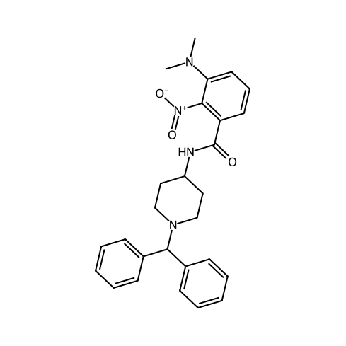 CN(C)c1cccc(C(=O)NC2CCN(C(c3ccccc3)c3ccccc3)CC2)c1[N+](=O)[O-]